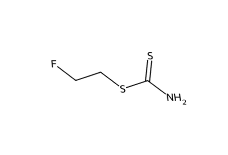 NC(=S)SCCF